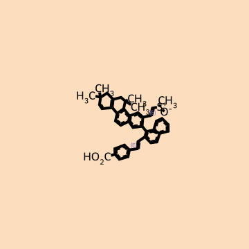 C[S+]([O-])/C=C/c1cc2c3c(ccc2cc1-c1c(/C=C/c2ccc(C(=O)O)cc2)ccc2ccccc12)C1=C(CC(C)(C)C=C1)CC3(C)C